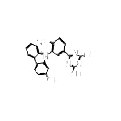 Cc1nc(C)nc(-c2ccc(C#N)c(-n3c4ccccc4c4ccc(C(F)(F)F)cc43)c2)n1